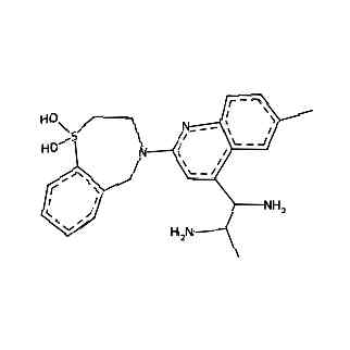 Cc1ccc2nc(N3CCS(O)(O)c4ccccc4C3)cc(C(N)C(C)N)c2c1